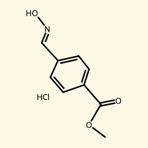 COC(=O)c1ccc(/C=N/O)cc1.Cl